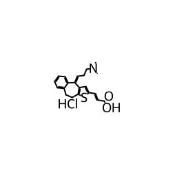 CN(C)CCC=C1c2ccccc2CCc2sc(C=CC(=O)O)cc21.Cl